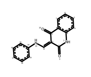 O=C1Nc2ccccc2C(=O)/C1=C\Nc1ccccc1